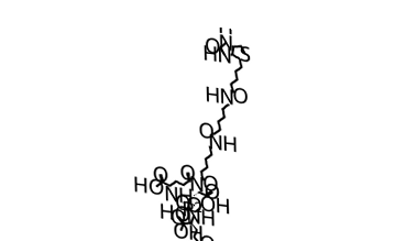 N[C@@H](CCC(=O)N(C(=O)CCCCCNC(=O)CCCCCNC(=O)CCCCC1SCC2NC(=O)NC21)[C@@H](COP(=O)(O)N[C@@H](CCC(=O)O)C(=O)O)C(=O)O)C(=O)O